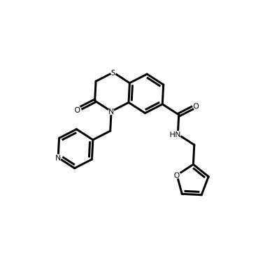 O=C(NCc1ccco1)c1ccc2c(c1)N(Cc1ccncc1)C(=O)CS2